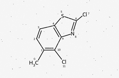 Cc1ccc2sc(Cl)nc2c1Cl